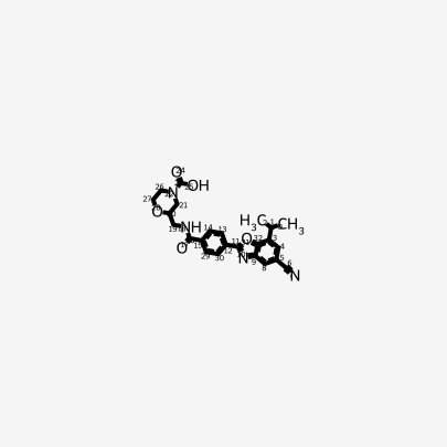 CC(C)c1cc(C#N)cc2nc(-c3ccc(C(=O)NCC4CN(C(=O)O)CCO4)cc3)oc12